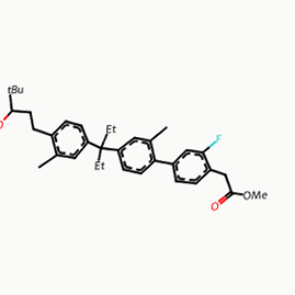 CCC(CC)(c1ccc(CCC(O)C(C)(C)C)c(C)c1)c1ccc(-c2ccc(CC(=O)OC)c(F)c2)c(C)c1